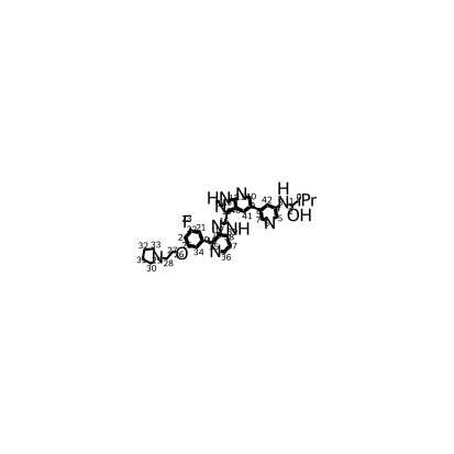 CC(C)C(O)Nc1cncc(-c2cnc3[nH]nc(-c4nc5c(-c6cc(F)cc(OCCN7CCCC7)c6)nccc5[nH]4)c3c2)c1